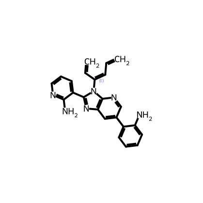 C=C/C=C(\C=C)n1c(-c2cccnc2N)nc2cc(-c3ccccc3N)cnc21